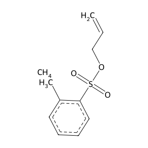 C.C=CCOS(=O)(=O)c1ccccc1C